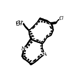 Clc1cc(Br)c2nccnc2c1